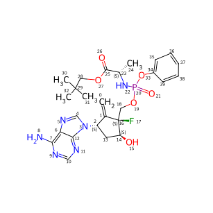 C=C1[C@@H](n2cnc3c(N)ncnc32)C[C@H](O)[C@@]1(F)COP(=O)(N[C@@H](C)C(=O)OCC(C)(C)C)Oc1ccccc1